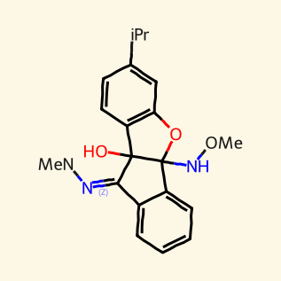 CN/N=C1/c2ccccc2C2(NOC)Oc3cc(C(C)C)ccc3C12O